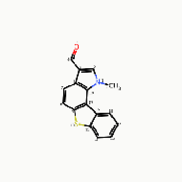 Cn1cc(C=O)c2ccc3sc4ccccc4c3c21